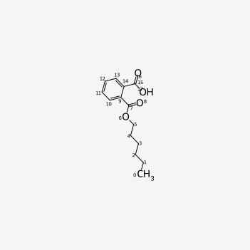 CCCCCCOC(=O)c1ccccc1C(=O)O